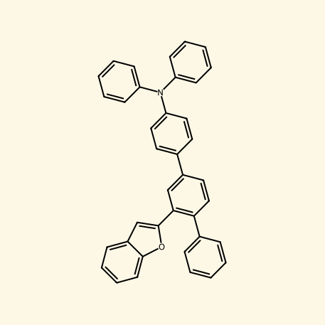 c1ccc(-c2ccc(-c3ccc(N(c4ccccc4)c4ccccc4)cc3)cc2-c2cc3ccccc3o2)cc1